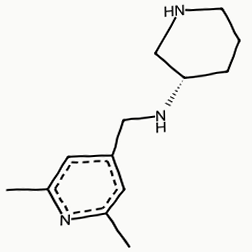 Cc1cc(CN[C@H]2CCCNC2)cc(C)n1